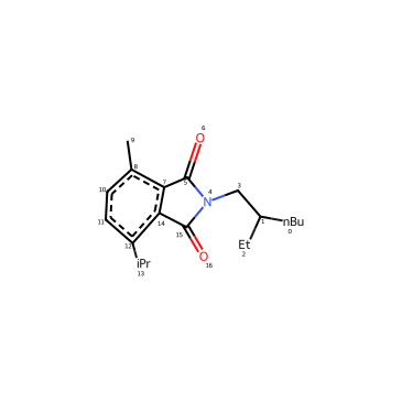 CCCCC(CC)CN1C(=O)c2c(C)ccc(C(C)C)c2C1=O